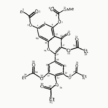 CCC(=O)Oc1cc(OC(=O)OC)c2c(=O)c(OC(=O)CC)c(-c3cc(OC(=O)CC)c(OC(=O)CC)c(OC(=O)CC)c3)oc2c1